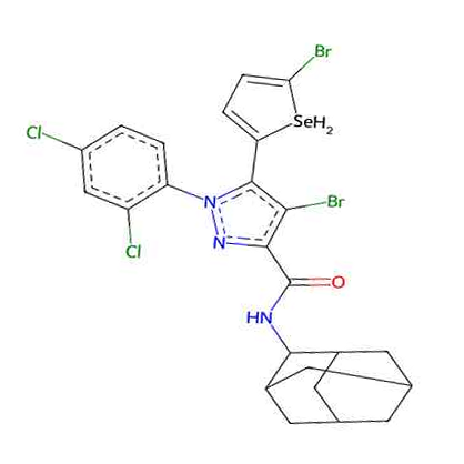 O=C(NC1C2CC3CC(C2)CC1C3)c1nn(-c2ccc(Cl)cc2Cl)c(C2=CC=C(Br)[SeH2]2)c1Br